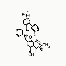 C#Cc1cc(CN(C(=O)C=Cc2ccc(C(F)(F)F)nc2-c2cccc(F)c2)c2ccccc2)cc(F)c1NS(C)(=O)=O